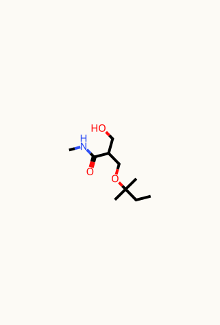 CCC(C)(C)OCC(CO)C(=O)NC